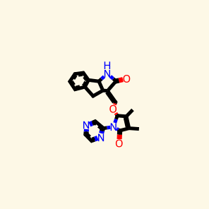 CC1=C(C)C(OC=C2C(=O)NC3c4ccccc4CC23)N(c2cnccn2)C1=O